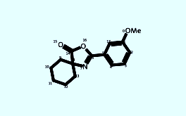 COc1cccc(C2=NC3(CCCCC3)C(=O)O2)c1